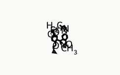 CCS(=O)(=O)c1ccc(OCC2CC2)c(-c2cn(C)c(=O)c3ccc(-n4cc(C)cn4)cc23)c1